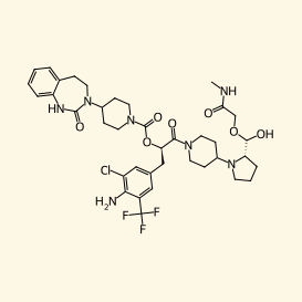 CNC(=O)COC(O)[C@@H]1CCCN1C1CCN(C(=O)[C@@H](Cc2cc(Cl)c(N)c(C(F)(F)F)c2)OC(=O)N2CCC(N3CCc4ccccc4NC3=O)CC2)CC1